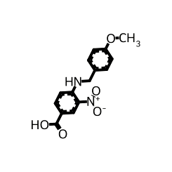 COc1ccc(CNc2ccc(C(=O)O)cc2[N+](=O)[O-])cc1